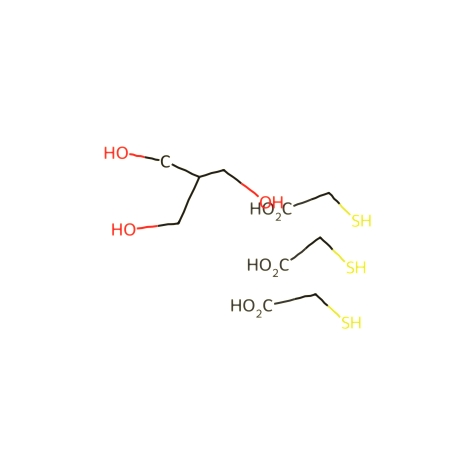 O=C(O)CS.O=C(O)CS.O=C(O)CS.OCC(CO)CO